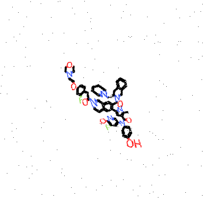 COc1ncc(N(C(=O)c2cc(-c3cc4c(cc3C(=O)N3Cc5ccccc5C[C@H]3CN3CCCCC3)CN(C(=O)Cc3ccc(OCCN5CCOCC5)cc3F)CC4)n(C)c2C)c2ccc(O)cc2)cc1F